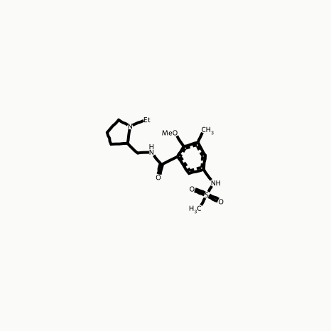 CCN1CCCC1CNC(=O)c1cc(NS(C)(=O)=O)cc(C)c1OC